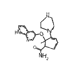 CC1(Oc2cnc3[nH]ccc3c2)C(N2CCNCC2)=CC=CC1C(N)=O